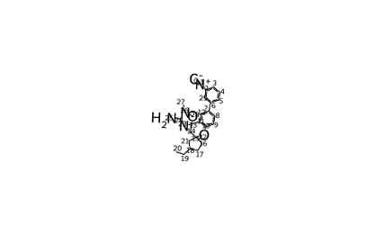 [C-]#[N+]c1cccc(-c2ccc3c(c2)C2(CC4(CCC(CC)C4)O3)N=C(N)N(C)O2)c1